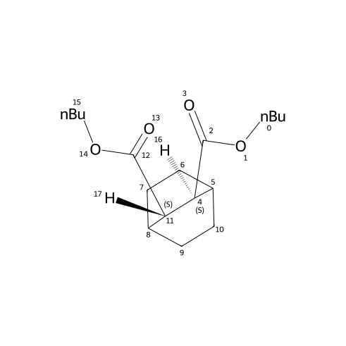 CCCCOC(=O)[C@H]1C2CCC(CC2)[C@@H]1C(=O)OCCCC